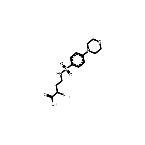 NC(CCNS(=O)(=O)c1ccc(N2CCOCC2)cc1)C(=O)O